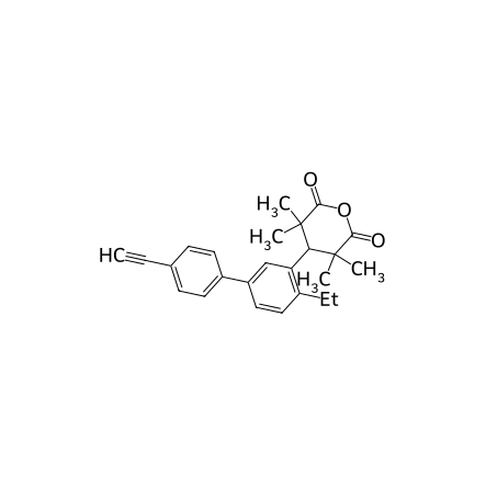 C#Cc1ccc(-c2ccc(CC)c(C3C(C)(C)C(=O)OC(=O)C3(C)C)c2)cc1